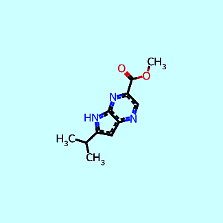 COC(=O)c1cnc2cc(C(C)C)[nH]c2n1